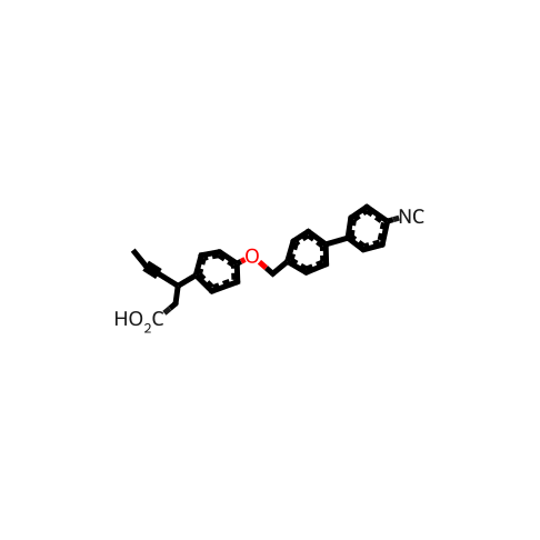 [C-]#[N+]c1ccc(-c2ccc(COc3ccc(C(C#CC)CC(=O)O)cc3)cc2)cc1